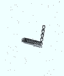 [C]=O.[C]=O.[C]=O.[C]=O.[C]=O.[C]=O.[C]=O.[C]=O.[C]=O.[C]=O.[C]=O.[C]=O.[C]=O.[C]=O.[C]=O.[C]=O.[Rh]